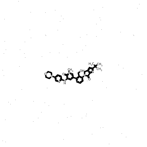 Cn1cc(-c2cccc(N3Cc4cc(C(C)(C)C)sc4C3=O)c2CO)cc(Nc2ccc(N3CCOCC3)cn2)c1=O